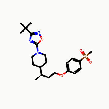 C[C@H](CCOc1ccc(S(C)(=O)=O)cc1)C1CCN(c2nc(C(C)(C)C)no2)CC1